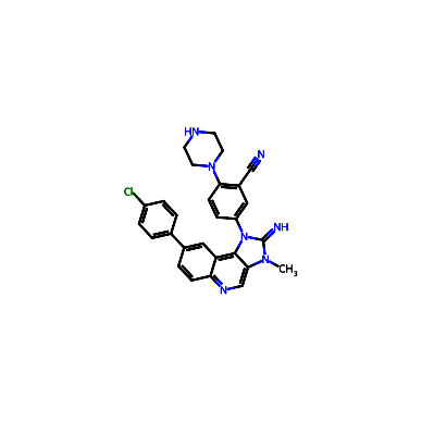 Cn1c(=N)n(-c2ccc(N3CCNCC3)c(C#N)c2)c2c3cc(-c4ccc(Cl)cc4)ccc3ncc21